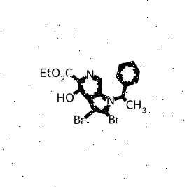 CCOC(=O)c1ncc2c(c1O)c(Br)c(Br)n2C(C)c1ccccc1